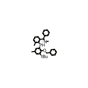 C/N=C(\c1ccccc1)c1cccc(C)c1Pc1cc(C)cc(C(C)(C)C)c1OCc1ccccc1